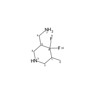 CC1CNCC(CN)C1(F)F